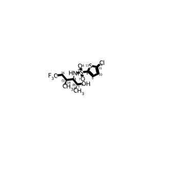 C[C@@H](O)[C@@H](NS(=O)(=O)c1ccc(Cl)s1)[C@@H](C)CC(F)(F)F